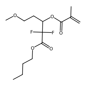 C=C(C)C(=O)OC(CCOC)C(F)(F)C(=O)OCCCC